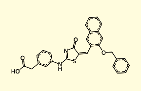 O=C(O)Cc1cccc(NC2=NC(=O)/C(=C\c3cc4ccccc4cc3OCc3ccccc3)S2)c1